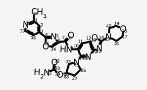 Cc1cc(-c2nc(C(=O)Nc3cc4oc(N5CCOCC5)nc4nc3N3CC[C@@H](OC(N)=O)C3)co2)ccn1